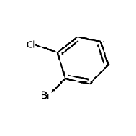 Clc1c[c]ccc1Br